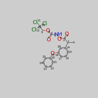 CC(C(=O)ONC(=O)OCC(Cl)(Cl)Cl)c1cccc(Oc2ccccc2)c1